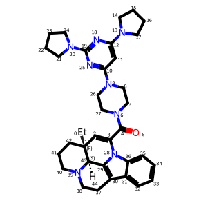 CC[C@]12C=C(C(=O)N3CCN(c4cc(N5CCCC5)nc(N5CCCC5)n4)CC3)n3c4c(c5ccccc53)CCN(CCC1)[C@H]42